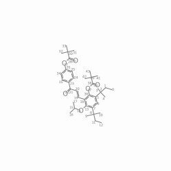 CCC(C)(C)c1cc(C(C)(C)CC)c(OC(C)C)c(C=CC(=O)c2ccc(OC(=O)C(C)(C)C)cc2)c1OC(=O)C(C)(C)C